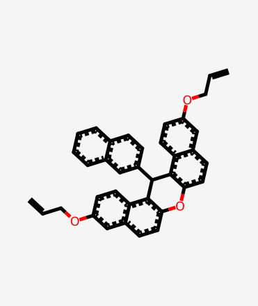 C=CCOc1ccc2c3c(ccc2c1)Oc1ccc2cc(OCC=C)ccc2c1C3c1ccc2ccccc2c1